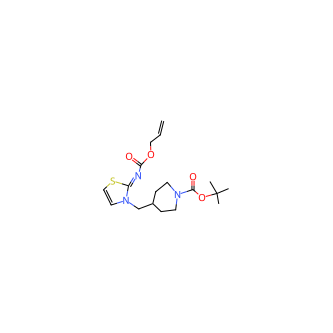 C=CCOC(=O)/N=c1\sccn1CC1CCN(C(=O)OC(C)(C)C)CC1